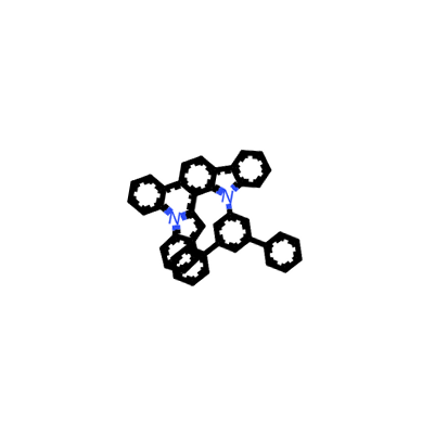 c1ccc(-c2cc(-c3ccccc3)cc(-n3c4ccccc4c4ccc5c6ccccc6n6c7ccccc7cc6c5c43)c2)cc1